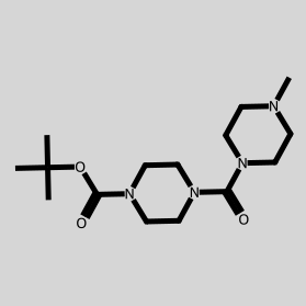 CN1CCN(C(=O)N2CCN(C(=O)OC(C)(C)C)CC2)CC1